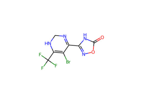 O=c1[nH]c(C2=NCNC(C(F)(F)F)=C2Br)no1